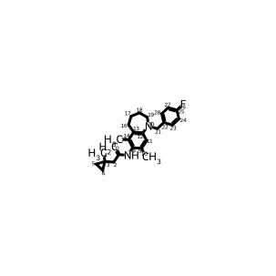 C=C(CC1(C)CC1)Nc1c(C)cc2c(c1C)CCCCN2Cc1ccc(F)cc1